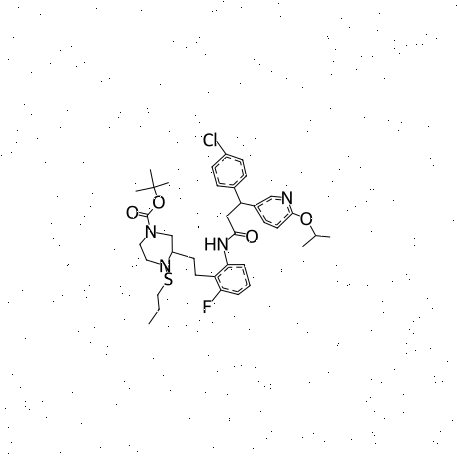 CCCSN1CCN(C(=O)OC(C)(C)C)CC1CCc1c(F)cccc1NC(=O)CC(c1ccc(Cl)cc1)c1ccc(OC(C)C)nc1